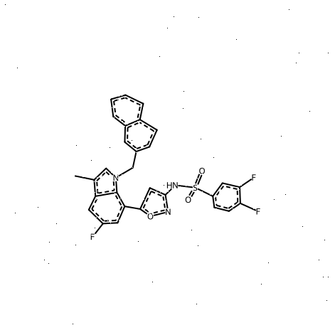 Cc1cn(Cc2ccc3ccccc3c2)c2c(-c3cc(NS(=O)(=O)c4ccc(F)c(F)c4)no3)cc(F)cc12